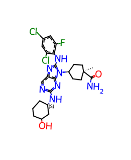 C[C@]1(C(N)=O)CC[C@@H](n2c(Nc3c(F)cc(Cl)cc3Cl)nc3cnc(N[C@H]4CCCC(O)C4)nc32)CC1